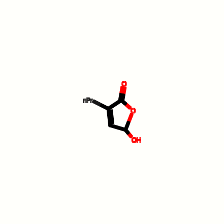 CCCC1=CC(O)OC1=O